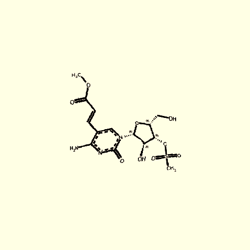 COC(=O)C=Cc1cn([C@@H]2O[C@H](CO)[C@H](OS(C)(=O)=O)[C@H]2O)c(=O)nc1N